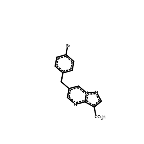 O=C(O)c1cnn2cc(Cc3ccc(Br)cc3)cnc12